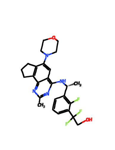 Cc1nc(N[C@H](C)c2cccc(C(F)(F)CO)c2F)c2cc(N3CCOCC3)c3c(c2n1)CCC3